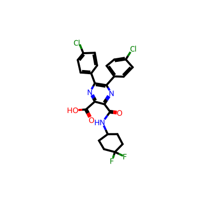 O=C(O)c1nc(-c2ccc(Cl)cc2)c(-c2ccc(Cl)cc2)nc1C(=O)NC1CCC(F)(F)CC1